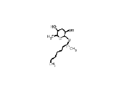 CCCCCC[C@@H](C)OC1OC(C)C(O)CC1O